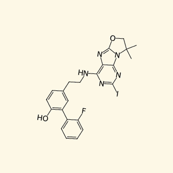 CC1(C)COc2nc3c(NCCc4ccc(O)c(-c5ccccc5F)c4)nc(I)nc3n21